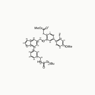 COC(=O)Cc1ccc(-c2ccc(OC)cc2F)cc1OCc1cc(-c2cccc(CNC(=O)OC(C)(C)C)c2)c2occc2c1